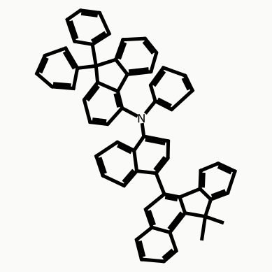 CC1(C)c2ccccc2-c2c(-c3ccc(N(c4ccccc4)c4cccc5c4-c4ccccc4C5(c4ccccc4)c4ccccc4)c4ccccc34)cc3ccccc3c21